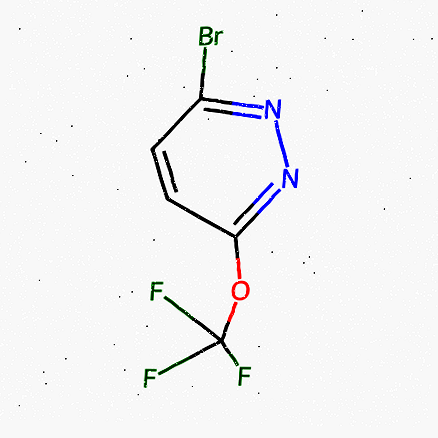 FC(F)(F)Oc1ccc(Br)nn1